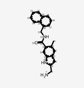 Cc1cc2cc(CN)[nH]c2cc1C(=O)NCc1cccc2ccccc12